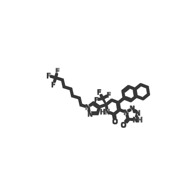 O=C1N[C@@](c2cnn(CCCCCCC(F)(F)F)c2)(C(F)(F)F)CC(c2ccc3c(c2)CCCC3)=C1n1nn[nH]c1=O